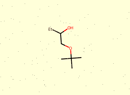 CCC(O)COC(C)(C)C